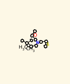 CC1(C)c2ccc(-c3cccc(N(c4ccc(-c5cccc6c5oc5ccccc56)cc4)c4ccc(-c5cccc6sc7ccccc7c56)cc4)c3)cc2-c2c(-c3ccccc3)cc(-c3ccccc3)cc21